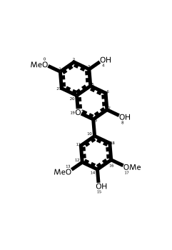 COc1cc(O)c2cc(O)c(-c3cc(OC)c(O)c(OC)c3)[o+]c2c1